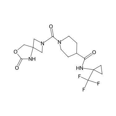 O=C1NC2(CO1)CN(C(=O)N1CCC(C(=O)NC3(C(F)(F)F)CC3)CC1)C2